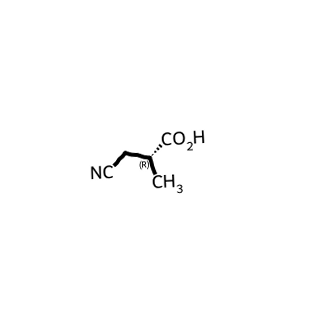 C[C@H](CC#N)C(=O)O